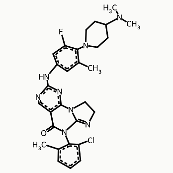 Cc1cc(Nc2ncc3c(n2)N2CCN=C2N(c2c(C)cccc2Cl)C3=O)cc(F)c1N1CCC(N(C)C)CC1